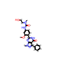 COc1cc(NC(=O)N(C)CCO)ccc1-c1nc2c(c(-c3ccccc3)nn2C)c(=O)[nH]1